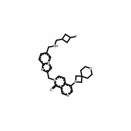 O=c1c2cncc(N3CC4(CCOCC4)C3)c2ccn1Cc1cn2cc(CNCC3CC(F)C3)ccc2n1